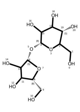 OCC1O[C@H](O[C@@H]2O[C@H](CO)C(O)C2O)C(O)C(O)[C@@H]1O